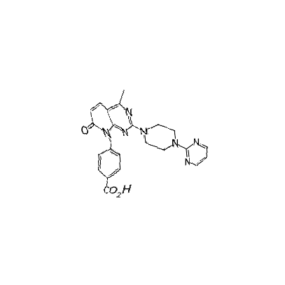 Cc1nc(N2CCN(c3ncccn3)CC2)nc2c1ccc(=O)n2-c1ccc(C(=O)O)cc1